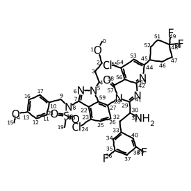 COCCCn1nc(N(Cc2ccc(OC)cc2)S(C)(=O)=O)c2c(Cl)ccc(-n3c([C@@H](N)Cc4cc(F)cc(F)c4)nc4nc(C5CCC(F)(F)CC5)cc(Cl)c4c3=O)c21